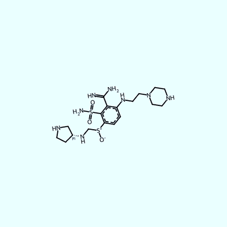 N=C(N)c1c(NCCN2CCNCC2)ccc([S+]([O-])CN[C@@H]2CCNC2)c1S(N)(=O)=O